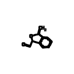 C=C1OC(C=O)c2ccccc21